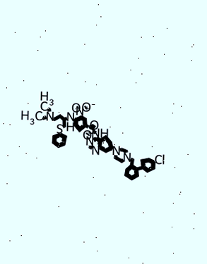 CCN(CC)CCC(CSc1ccccc1)Nc1ccc(S(=O)(=O)Nc2ncnc3cc(N4CCN(Cc5ccccc5-c5ccc(Cl)cc5)CC4)ccc23)cc1[N+](=O)[O-]